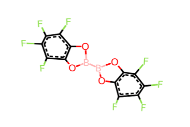 Fc1c(F)c(F)c2c(c1F)OB(B1Oc3c(F)c(F)c(F)c(F)c3O1)O2